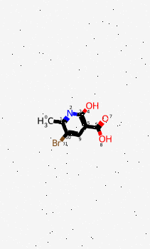 Cc1nc(O)c(C(=O)O)cc1Br